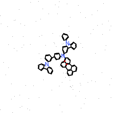 c1ccc(-c2cccc3cccc(-c4ccc(N(c5ccc(-c6cccc(-n7c8ccccc8c8ccccc87)c6)cc5)c5ccc6c(c5)c5ccccc5n6-c5ccccc5)cc4)c23)cc1